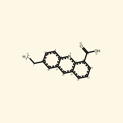 CCc1ccc2nc3c(C(=O)O)cccc3cc2c1